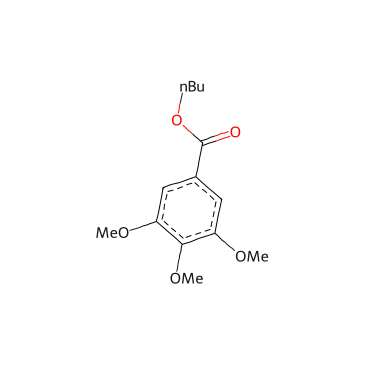 [CH2]CCCOC(=O)c1cc(OC)c(OC)c(OC)c1